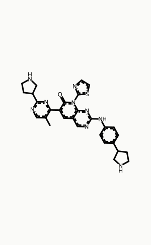 Cc1cnc(C2CCNC2)nc1-c1cc2cnc(Nc3ccc(C4CCNC4)cc3)nc2n(-c2nccs2)c1=O